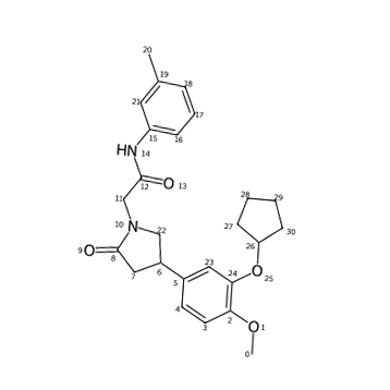 COc1ccc(C2CC(=O)N(CC(=O)Nc3cccc(C)c3)C2)cc1OC1CCCC1